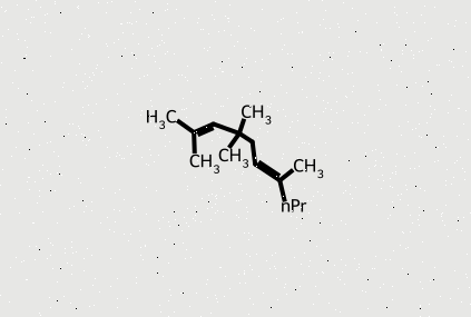 CCCC(C)=CCC(C)(C)C=C(C)C